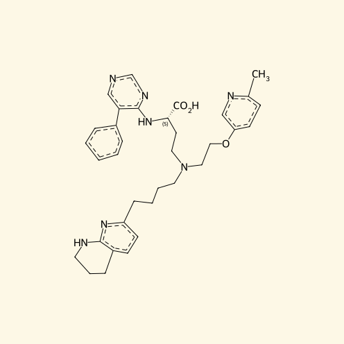 Cc1ccc(OCCN(CCCCc2ccc3c(n2)NCCC3)CC[C@H](Nc2ncncc2-c2ccccc2)C(=O)O)cn1